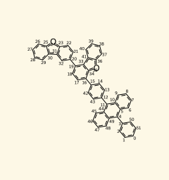 c1ccc(-c2c3ccccc3c(-c3ccc(-c4ccc(-c5ccc6oc7ccccc7c6c5)c5c4oc4ccccc45)cc3)c3ccccc23)cc1